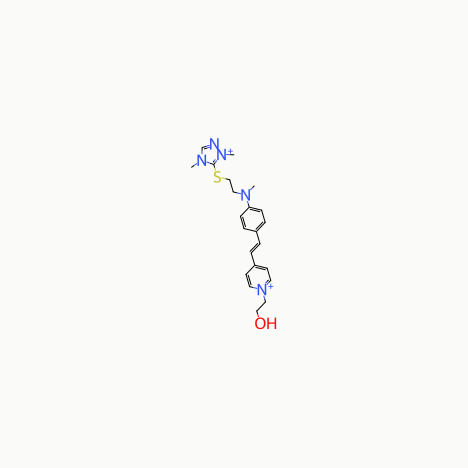 CN(CCSc1n(C)cn[n+]1C)c1ccc(/C=C/c2cc[n+](CCO)cc2)cc1